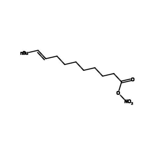 CCCCC=CCCCCCCCC(=O)O[N+](=O)[O-]